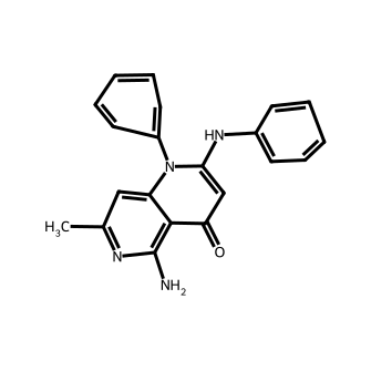 Cc1cc2c(c(N)n1)c(=O)cc(Nc1ccccc1)n2-c1ccccc1